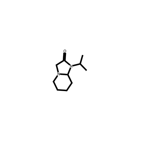 CC(C)N1C(=O)CN2CCCCC21